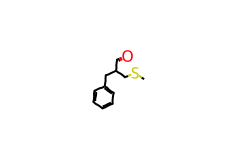 CSCC(C=O)Cc1ccccc1